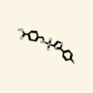 O=C(O)c1ccc(CNS(=O)(=O)c2csc(-c3ccc(F)cc3)n2)cc1